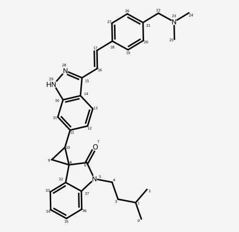 CC(C)CCN1C(=O)C2(CC2c2ccc3c(/C=C/c4ccc(CN(C)C)cc4)n[nH]c3c2)c2ccccc21